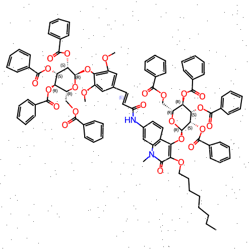 CCCCCCCCOc1c(O[C@H]2O[C@H](COC(=O)c3ccccc3)[C@@H](OC(=O)c3ccccc3)[C@H](OC(=O)c3ccccc3)[C@@H]2OC(=O)c2ccccc2)c2ccc(NC(=O)/C=C/c3cc(OC)c(O[C@H]4O[C@H](COC(=O)c5ccccc5)[C@@H](OC(=O)c5ccccc5)[C@H](OC(=O)c5ccccc5)[C@@H]4OC(=O)c4ccccc4)c(OC)c3)cc2n(C)c1=O